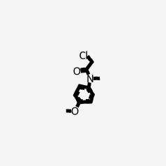 COc1ccc(N(C)C(=O)CCl)cc1